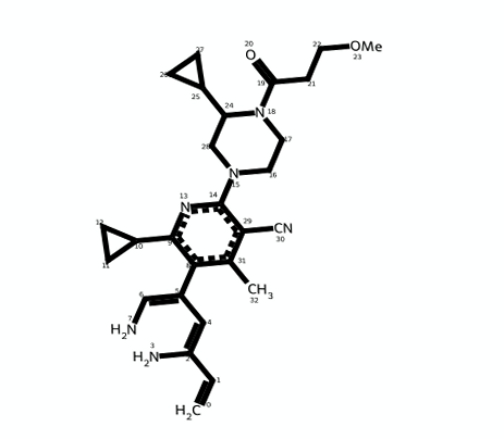 C=C/C(N)=C/C(=C\N)c1c(C2CC2)nc(N2CCN(C(=O)CCOC)C(C3CC3)C2)c(C#N)c1C